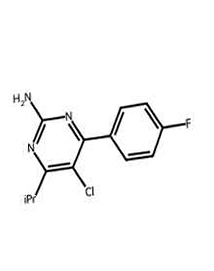 CC(C)c1nc(N)nc(-c2ccc(F)cc2)c1Cl